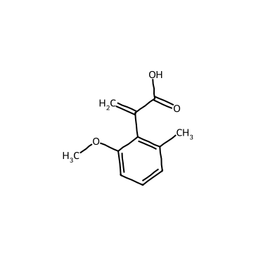 C=C(C(=O)O)c1c(C)cccc1OC